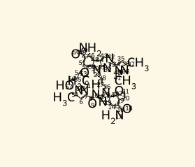 CCn1nc(C)cc1C(=O)Nc1nc2cc(C(N)=O)c3ccoc3c2n1CC=CCn1c2nc(-c3cc(C)nn3CC)ncc2c2cc(C(N)=O)cc(OCCCO)c21